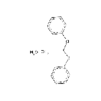 O.O.[B](COc1ccccc1)c1ccccc1